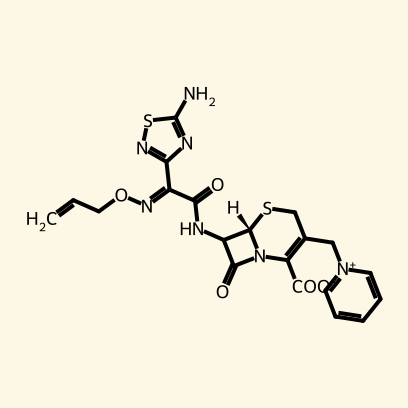 C=CCON=C(C(=O)NC1C(=O)N2C(C(=O)[O-])=C(C[n+]3ccccc3)CS[C@@H]12)c1nsc(N)n1